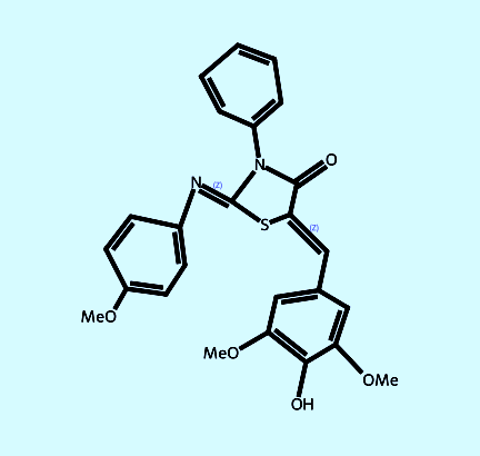 COc1ccc(/N=C2\S/C(=C\c3cc(OC)c(O)c(OC)c3)C(=O)N2c2ccccc2)cc1